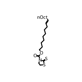 CCCCCCCCC=CCCCCCCCCOC(=O)N1CCSC1=S